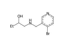 CCC(O)CNCc1cnccc1Br